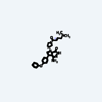 CN(C)C/C=C/C(=O)N1CC[C@@H](n2cc(-c3ccc(Oc4ccccc4)cc3)c3c(N)n[nH]c(=O)c32)C1